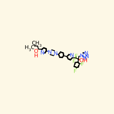 CC(C)CC(O)c1ccc(N2CCN(c3ccc(-c4ccc(C(F)(F)C(O)(Cn5cnnn5)c5ccc(F)cc5F)nc4)cc3)CC2)cn1